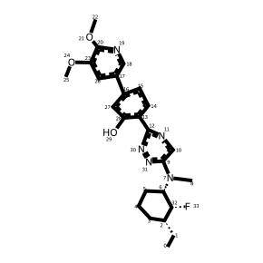 CC[C@@H]1CCC[C@H](N(C)c2cnc(-c3ccc(-c4cnc(OC)c(OC)c4)cc3O)nn2)[C@@H]1F